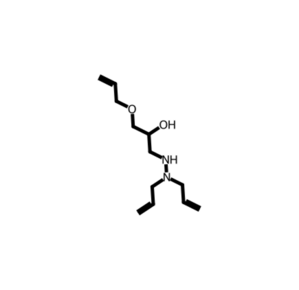 C=CCOCC(O)CNN(CC=C)CC=C